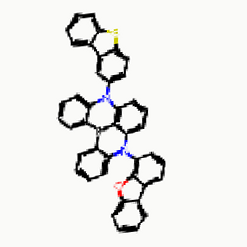 c1ccc2c(c1)B1c3ccccc3N(c3cccc4c3oc3ccccc34)c3cccc(c31)N2c1ccc2sc3ccccc3c2c1